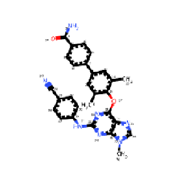 Cc1cc(-c2ccc(C(N)=O)cc2)cc(C)c1Oc1nc(Nc2ccc(C#N)cc2)nc2c1ncn2C